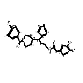 O=C(Cc1ccc(Cl)c(Cl)c1)NCCC(c1ccccc1)C1CCN(C(=O)c2ccc(F)cc2)CC1